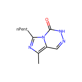 CCCCCc1nc(C)c2cn[nH]c(=O)n12